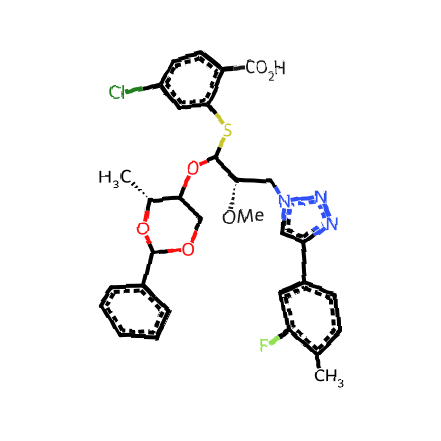 CO[C@@H](Cn1cc(-c2ccc(C)c(F)c2)nn1)C(OC1COC(c2ccccc2)O[C@@H]1C)Sc1cc(Cl)ccc1C(=O)O